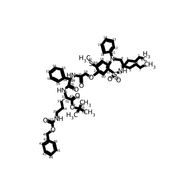 CCCCC1(CCCC)CN(c2ccccc2)c2cc(SC)c(OCC(=O)N[C@@H](C(=O)N[C@@H](CCCNC(=O)OCc3ccccc3)C(=O)OC(C)(C)C)c3ccccc3)cc2S(=O)(=O)N1